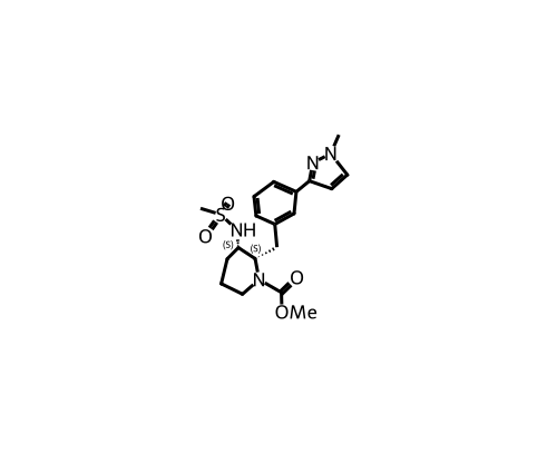 COC(=O)N1CCC[C@H](NS(C)(=O)=O)[C@@H]1Cc1cccc(-c2ccn(C)n2)c1